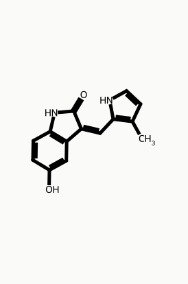 Cc1cc[nH]c1/C=C1\C(=O)Nc2ccc(O)cc21